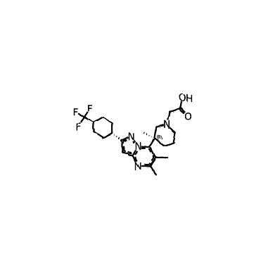 Cc1nc2cc([C@H]3CC[C@H](C(F)(F)F)CC3)nn2c([C@]2(C)CCCN(CC(=O)O)C2)c1C